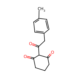 Cc1ccc(CC(=O)C2C(=O)CCCC2=O)cc1